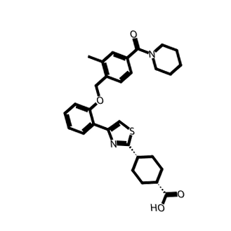 Cc1cc(C(=O)N2CCCCC2)ccc1COc1ccccc1-c1csc([C@H]2CC[C@@H](C(=O)O)CC2)n1